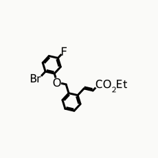 CCOC(=O)C=Cc1ccccc1COc1cc(F)ccc1Br